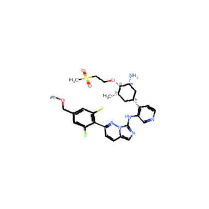 CC(C)OCc1cc(F)c(-c2ccc3cnc(Nc4cnccc4[C@H]4C[C@@H](N)[C@@H](OCCS(C)(=O)=O)[C@@H](C)C4)n3n2)c(F)c1